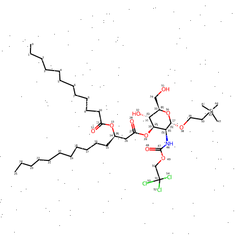 CCCCCCCCCCCC(=O)O[C@H](CCCCCCCCCCC)CC(=O)O[C@H]1[C@H](O)[C@@H](CO)O[C@H](OCC[Si](C)(C)C)[C@H]1NC(=O)OCC(Cl)(Cl)Cl